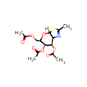 CC(=O)OCC1O[C@@H]2SC(C)=NC2[C@@H](OC(C)=O)[C@H]1OC(C)=O